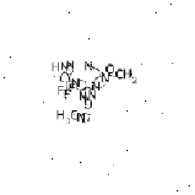 C=CC(=O)N1CCN(c2nc(OC[C@@H]3CCCN3C)nc3c2CCN(c2c(C(F)(F)F)ccc4[nH]ncc24)C3)CC1CC#N